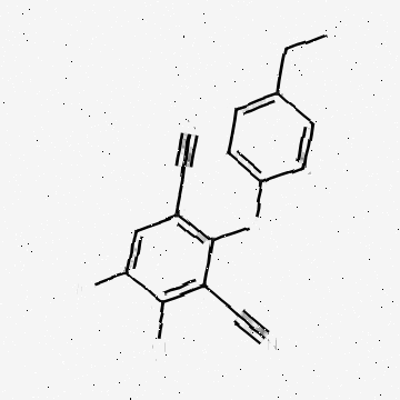 CCc1ccc(Sc2c(C#N)cc(O)c(O)c2C#N)cc1